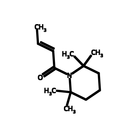 C/C=C/C(=O)N1C(C)(C)CCCC1(C)C